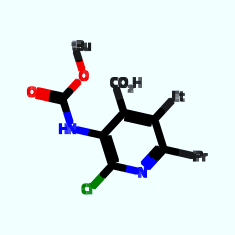 CCc1c(C(C)C)nc(Cl)c(NC(=O)OC(C)(C)C)c1C(=O)O